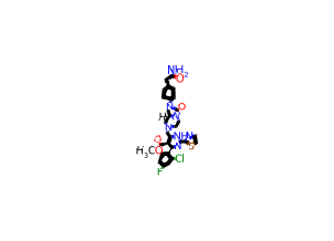 COC(=O)C1=C(CN2CCN3C(=O)N(c4ccc(CC(N)=O)cc4)C[C@@H]3C2)NC(c2nccs2)=N[C@H]1c1ccc(F)cc1Cl